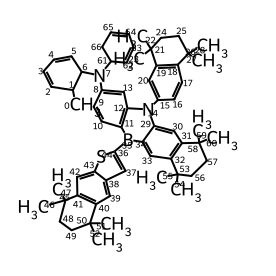 CC1C=CC=CC1N(c1ccc2c(c1)N(c1ccc3c(c1)C(C)(C)CCC3(C)C)c1cc3c(cc1B2c1cc2cc4c(cc2s1)C(C)(C)CCC4(C)C)C(C)(C)CCC3(C)C)C1C=CC=CC1